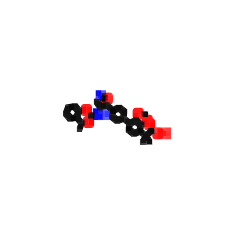 CC(OC(=O)Nc1cnoc1-c1ccc(-c2ccc(C3(C(=O)O)CC3)c3c2OCO3)cc1)c1ccccc1